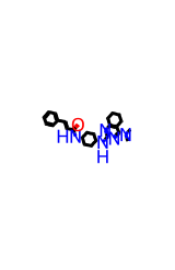 CN(C)c1nc(N[C@H]2CC[C@@H](NC(=O)/C=C/c3ccccc3)CC2)nc2c1CCCC2